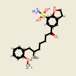 CC(C)(C)[C](CCCCC(=O)c1cc2c(c(S(N)(=O)=O)c1)OCC2)Cc1ccccc1OC(F)(F)F